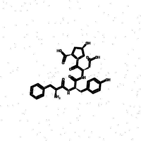 N[C@@H](Cc1ccccc1)C(=O)N[C@@H](Cc1ccc(O)cc1)C(=O)N[C@@H](CC(=O)O)C(=O)N1C[C@H](O)C[C@H]1C(=O)O